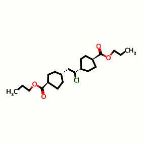 CCCOC(=O)[C@H]1CC[C@H](CC(Cl)[C@H]2CC[C@H](C(=O)OCCC)CC2)CC1